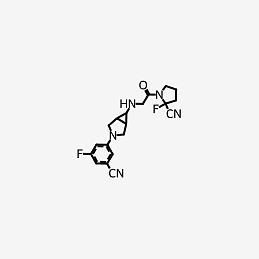 N#Cc1cc(F)cc(N2CC3C(C2)C3NCC(=O)N2CCCC2(F)C#N)c1